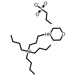 C1COCCN1.CCCC[N+](CCCC)(CCCC)CCCC.CCCS(=O)(=O)[O-]